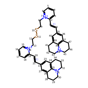 C(=C\c1cccc[n+]1CCSSCC[n+]1ccccc1/C=C/c1cc2c3c(c1)CCCN3CCC2)/c1cc2c3c(c1)CCCN3CCC2